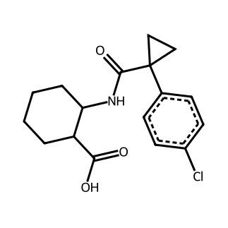 O=C(O)C1CCCCC1NC(=O)C1(c2ccc(Cl)cc2)CC1